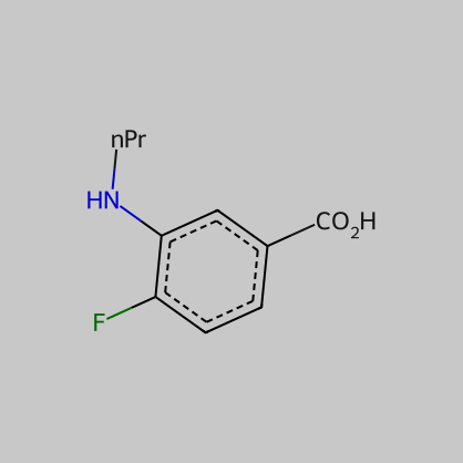 CCCNc1cc(C(=O)O)ccc1F